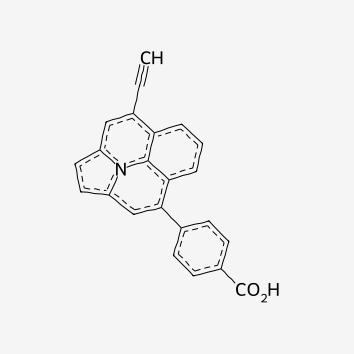 C#Cc1cc2ccc3cc(-c4ccc(C(=O)O)cc4)c4cccc1c4n23